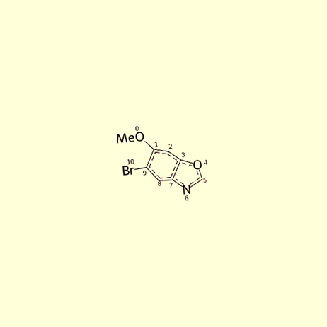 COc1cc2ocnc2cc1Br